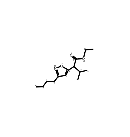 CCCCc1cc(C(C(=O)OCC)C(C)C)on1